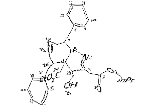 CCCOC(=O)C1=NN2C(c3ccccc3)C=CC(c3ccccc3)C2(C(=O)OCC)C1O